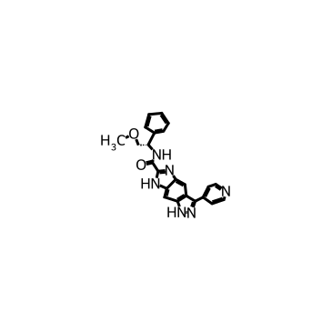 COC[C@@H](NC(=O)c1nc2cc3c(-c4ccncc4)n[nH]c3cc2[nH]1)c1ccccc1